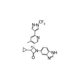 Cc1cc(-c2cnn(C(F)(F)F)c2)ncc1[C@H]1C(C2CC2)C(=O)N1c1ccc2[nH]cnc2c1